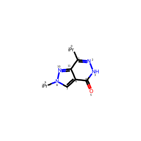 CC(C)c1n[nH]c(=O)c2cn(C(C)C)nc12